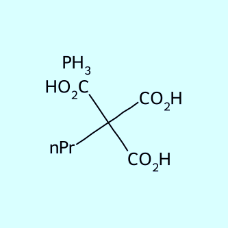 CCCC(C(=O)O)(C(=O)O)C(=O)O.P